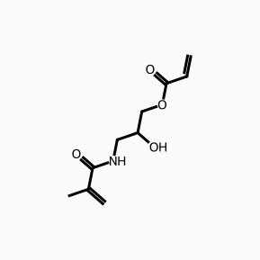 C=CC(=O)OCC(O)CNC(=O)C(=C)C